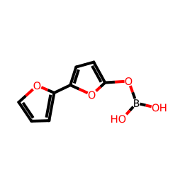 OB(O)Oc1ccc(-c2ccco2)o1